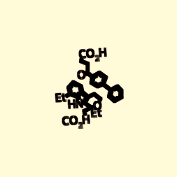 CCc1cccc2c3c([nH]c12)C(CC)(CC(=O)O)OCC3.O=C(O)CCC(=O)c1ccc(-c2ccccc2)cc1